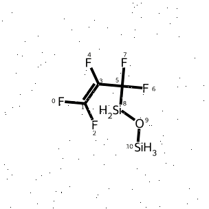 FC(F)=C(F)C(F)(F)[SiH2]O[SiH3]